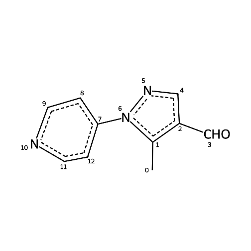 Cc1c(C=O)cnn1-c1ccncc1